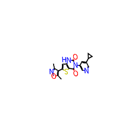 Cc1noc(C)c1-c1cc2[nH]c(=O)n(-c3cncc(C4CC4)c3)c(=O)c2s1